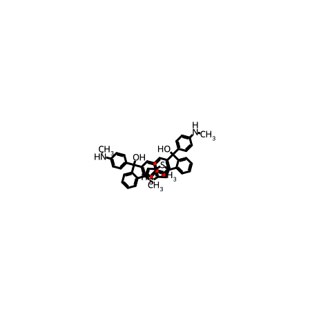 CNc1ccc(C(O)(c2ccc(C)cc2)c2ccccc2-c2cc3sc(-c4ccccc4C(O)(c4ccc(NC)cc4)c4ccc(NC)cc4)cc3s2)cc1